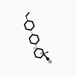 CC[C@H]1CC[C@H](C2CCC([C@H]3CCC[C@@](C)(C#N)C3)CC2)CC1